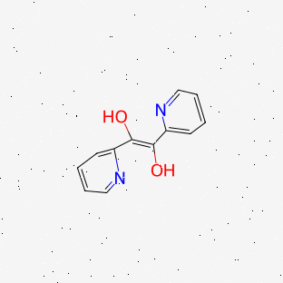 OC(=C(O)c1ccccn1)c1ccccn1